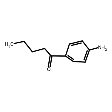 CCCCC(=O)c1ccc(N)cc1